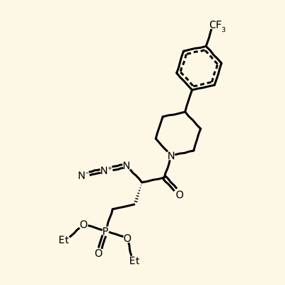 CCOP(=O)(CC[C@H](N=[N+]=[N-])C(=O)N1CCC(c2ccc(C(F)(F)F)cc2)CC1)OCC